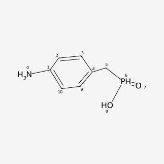 Nc1ccc(C[PH](=O)O)cc1